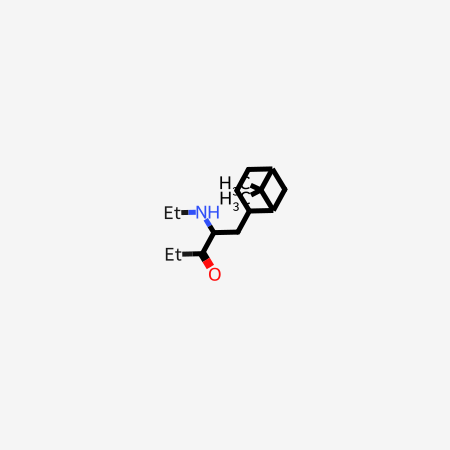 CCNC(CC1CCC2CC1C2(C)C)C(=O)CC